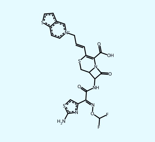 Nc1nc(C(=NOC(F)F)C(=O)NC2C(=O)N3C(C(=O)O)=C(C=CC[n+]4ccc5sccc5c4)SCC23)cs1